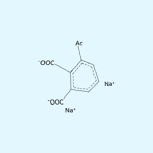 CC(=O)c1cccc(C(=O)[O-])c1C(=O)[O-].[Na+].[Na+]